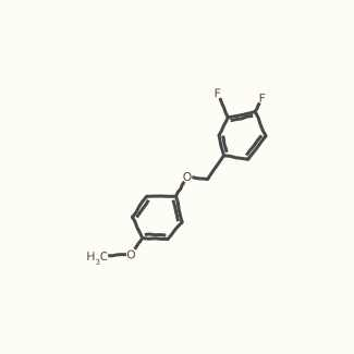 COc1ccc(OCc2ccc(F)c(F)c2)cc1